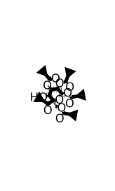 O=C(OC[C@@]1(C(=O)C2CC2)O[C@H](OC(=O)C2CC2)[C@H](OC(=O)C2CC2)[C@@H](OC(=O)C2CC2)[C@@H]1O)C1CC1